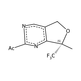 CC(=O)c1ncc2c(n1)[C@@](C)(C(F)(F)F)OC2